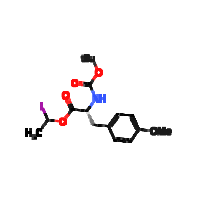 COc1ccc(C[C@@H](NC(=O)OC(C)(C)C)C(=O)OC(C)I)cc1